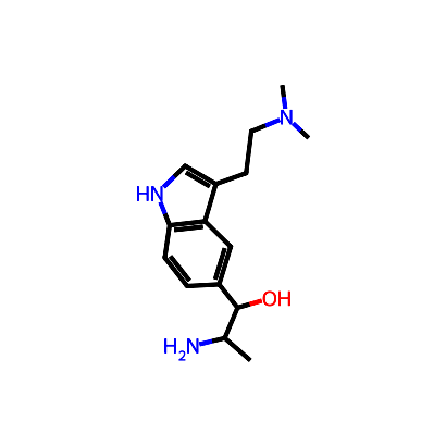 CC(N)C(O)c1ccc2[nH]cc(CCN(C)C)c2c1